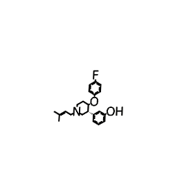 CC(C)=CCN1CC[C@@H](Oc2ccc(F)cc2)[C@H](c2cccc(O)c2)C1